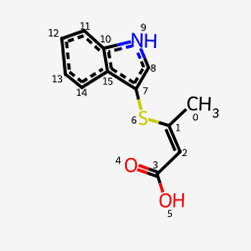 C/C(=C/C(=O)O)Sc1c[nH]c2ccccc12